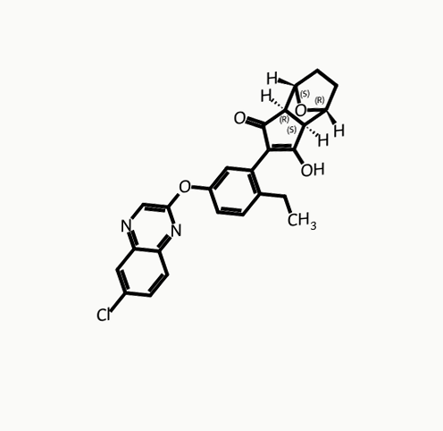 CCc1ccc(Oc2cnc3cc(Cl)ccc3n2)cc1C1=C(O)[C@H]2[C@@H](C1=O)[C@@H]1CC[C@H]2O1